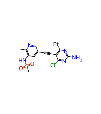 CCc1nc(N)nc(Cl)c1C#Cc1cnc(C)c(NS(C)(=O)=O)c1